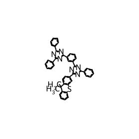 CC1(C)c2ccccc2Sc2cc(-c3nc(-c4ccccc4)nc(-c4cccc(-c5nc(-c6ccccc6)nc(-c6ccccc6)n5)c4)n3)ccc21